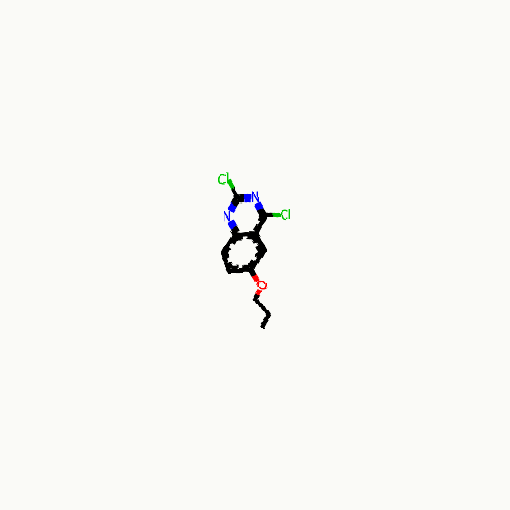 CCCOc1ccc2nc(Cl)nc(Cl)c2c1